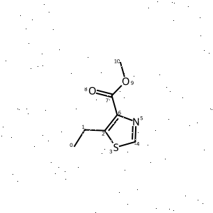 CCc1s[c]nc1C(=O)OC